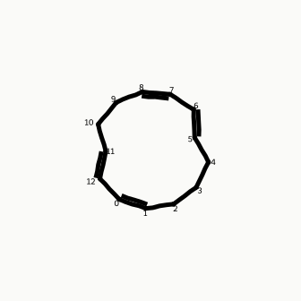 C1=C\CCC/C=C/C=C\CC/C=C/1